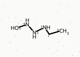 CCNNNO